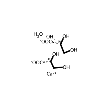 O.O.O=C([O-])[C@H](O)CO.O=C([O-])[C@H](O)CO.[Ca+2]